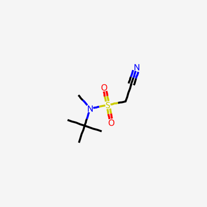 CN(C(C)(C)C)S(=O)(=O)CC#N